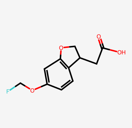 O=C(O)CC1COc2cc(OCF)ccc21